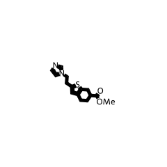 COC(=O)C1CCc2cc(CCn3ccnc3)sc2C1